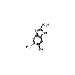 Cc1cc2nc(S(=O)(=O)O)[nH]c2cc1C